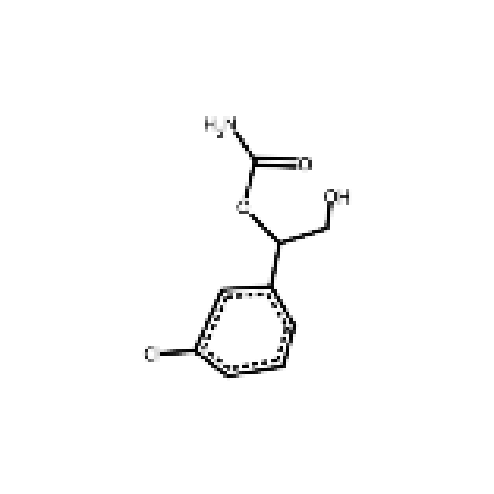 NC(=O)OC(CO)c1cccc(Cl)c1